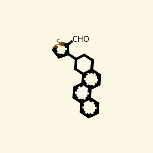 O=Cc1sccc1C1CCc2ccc3c(ccc4ccccc43)c2C1